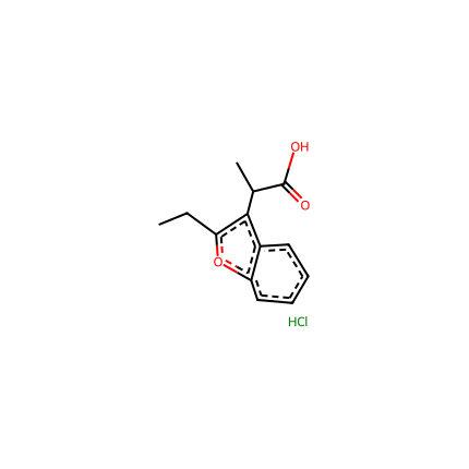 CCc1oc2ccccc2c1C(C)C(=O)O.Cl